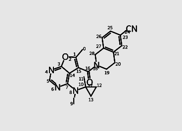 Cc1oc2ncnc(N(I)C3(C)CC3)c2c1C(=O)N1CCc2cc(C#N)ccc2C1